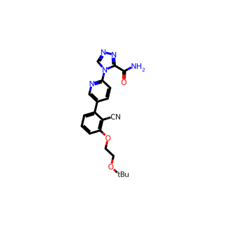 CC(C)(C)OCCOc1cccc(-c2ccc(-n3cnnc3C(N)=O)nc2)c1C#N